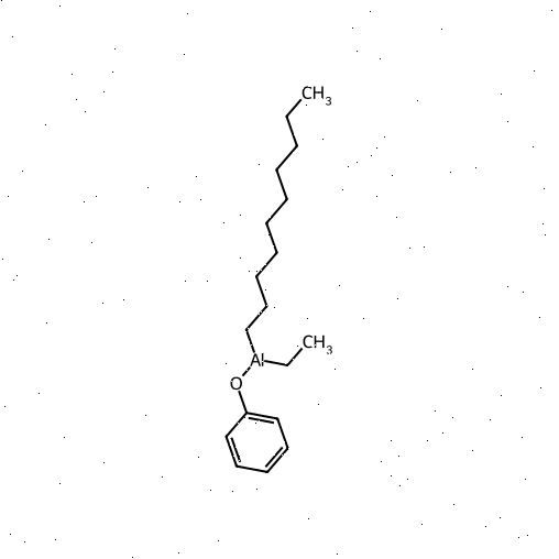 CCCCCCCCC[CH2][Al]([CH2]C)[O]c1ccccc1